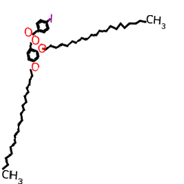 CCCCCCCCCCCCCCCCCCCCCCOc1ccc(COC(=O)c2ccc(I)cc2)c(OCCCCCCCCCCCCCCCCCCCCCC)c1